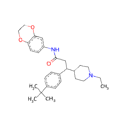 CCN1CCC(C(CC(=O)Nc2ccc3c(c2)OCCO3)c2ccc(C(C)(C)C)cc2)CC1